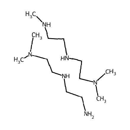 CN(C)CCNCCN.CNCCNCCN(C)C